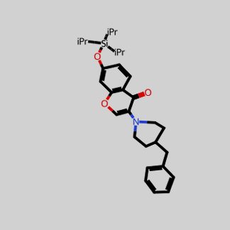 CC(C)[Si](Oc1ccc2c(=O)c(N3CCC(Cc4ccccc4)CC3)coc2c1)(C(C)C)C(C)C